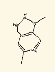 Cc1cc2c(cn1)N(C)NN2